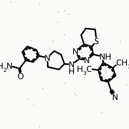 Cc1cc(C#N)cc(C)c1Nc1nc(NC2CCN(c3cccc(C(N)=O)c3)CC2)nc2c1SCCC2